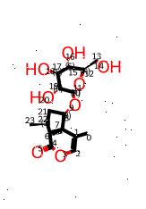 Cc1coc(=O)c2c1[C@H](O[C@@H]1O[C@H](CO)[C@@H](O)[C@H](O)[C@H]1O)C[C@@H]2C